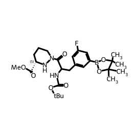 COC(=O)[C@@H]1CCCN(C(=O)C(Cc2cc(F)cc(B3OC(C)(C)C(C)(C)O3)c2)NC(=O)OC(C)(C)C)N1